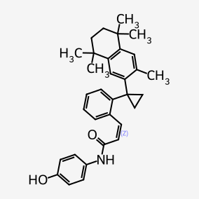 Cc1cc2c(cc1C1(c3ccccc3/C=C\C(=O)Nc3ccc(O)cc3)CC1)C(C)(C)CCC2(C)C